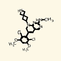 CNc1ncc2c(n1)N(C1CC3(CNC3)C1)CC(c1c(Cl)c(OC)cc(OC)c1Cl)=C2